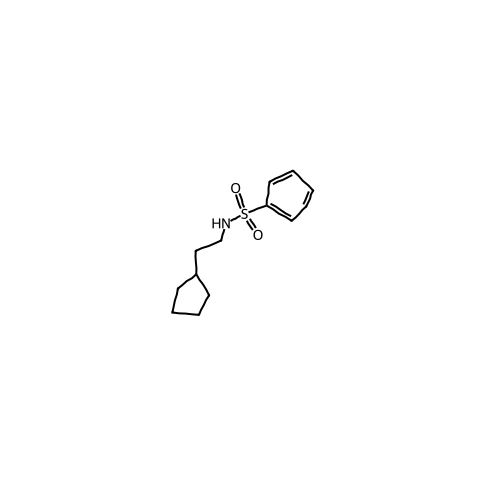 O=S(=O)(NCCC1CCCC1)c1ccccc1